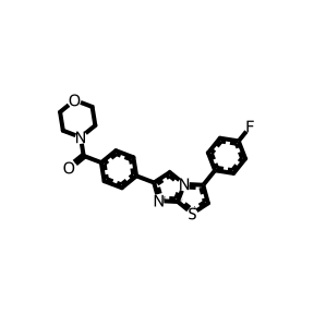 O=C(c1ccc(-c2cn3c(-c4ccc(F)cc4)csc3n2)cc1)N1CCOCC1